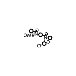 COc1ccccc1C(=O)Nc1ccc(C(=O)N2Cc3cc(Cl)ccc3Oc3ccccc32)cc1